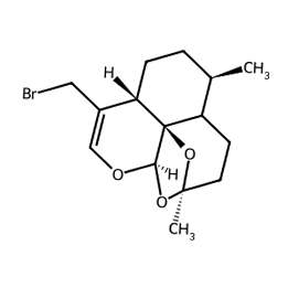 C[C@@H]1CC[C@H]2C(CBr)=CO[C@@H]3O[C@]4(C)CCC1[C@]32O4